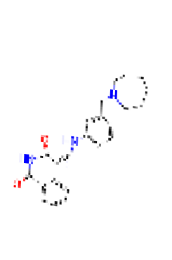 O=C1NC(=O)c2ccccc2/C1=C/Nc1cccc(CN2CCCCCC2)c1